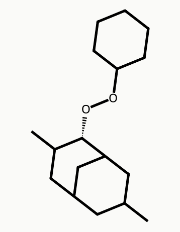 CC1CC2CC(C)[C@H](OOC3CCCCC3)C(C1)C2